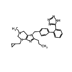 CCCc1nc2c(n1Cc1ccc(-c3ccccc3-c3nnn[nH]3)cc1)CN(C)CN2CC1CC1